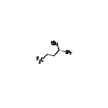 CC(C)[C@H](CCC(F)(F)F)C(C)(C)C